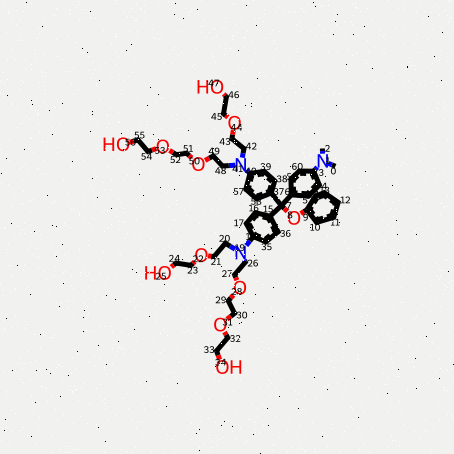 CN(C)c1ccc(C(Oc2ccccc2)(c2ccc(N(CCOCCO)CCOCCOCCO)cc2)c2ccc(N(CCOCCO)CCOCCOCCO)cc2)cc1